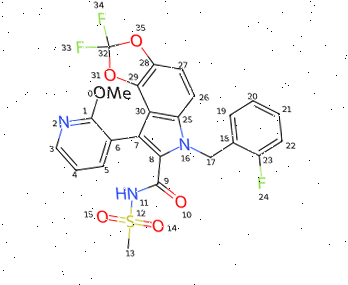 COc1ncccc1-c1c(C(=O)NS(C)(=O)=O)n(Cc2ccccc2F)c2ccc3c(c12)OC(F)(F)O3